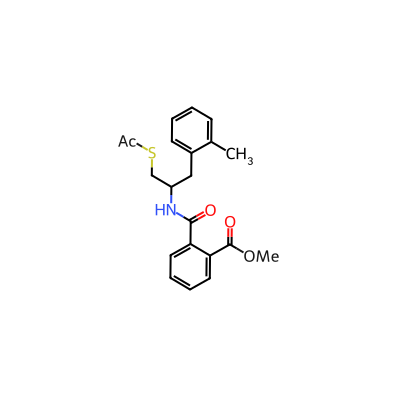 COC(=O)c1ccccc1C(=O)NC(CSC(C)=O)Cc1ccccc1C